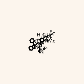 CNc1cc(NC(=O)[C@@H](NC(=O)c2ccnn2C(C)C)C(C2CCCCC2)C2CCCCC2)c(F)cc1C(C)C(=O)NC(F)C(F)F